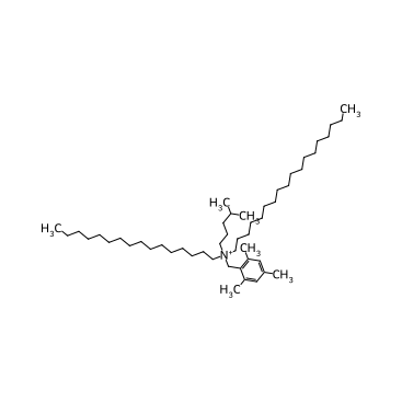 CCCCCCCCCCCCCCCCCC[N+](CCCCCCCCCCCCCCCC)(CCCC(C)C)Cc1c(C)cc(C)cc1C